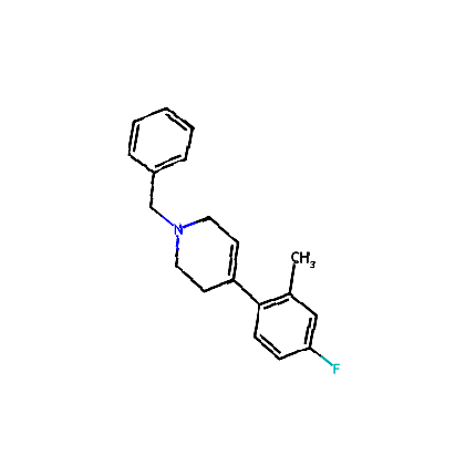 Cc1cc(F)ccc1C1=CCN(Cc2ccccc2)CC1